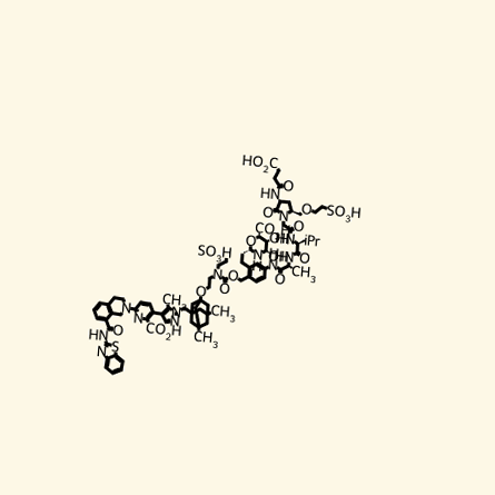 Cc1c(-c2ccc(N3CCc4cccc(C(=O)Nc5nc6ccccc6s5)c4C3)nc2C(=O)O)cnn1CC12CC3(C)CC(C)(C1)CC(OCCN(CCS(=O)(=O)O)C(=O)OCc1ccc(NC(=O)[C@H](C)NC(=O)[C@@H](NC(=O)CN4C(=O)[C@@H](NC(=O)CCC(=O)O)C[C@H]4COCCS(=O)(=O)O)C(C)C)cc1CC[C@H]1N[C@@H](O)[C@H](O)[C@@H](C(=O)O)O1)(C3)C2